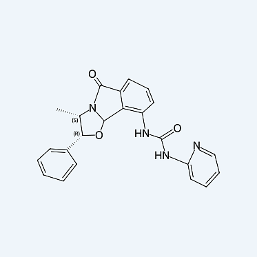 C[C@H]1[C@@H](c2ccccc2)OC2c3c(NC(=O)Nc4ccccn4)cccc3C(=O)N21